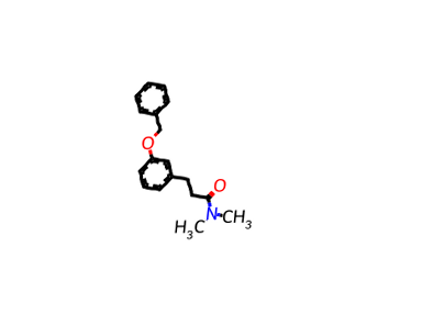 CN(C)C(=O)CCc1cccc(OCc2ccccc2)c1